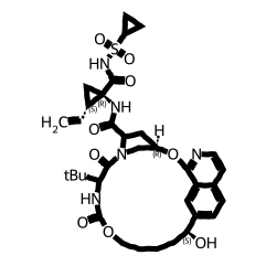 C=C[C@@H]1C[C@]1(NC(=O)C1C[C@@H]2CN1C(=O)C(C(C)(C)C)NC(=O)OCCCC[C@H](O)c1ccc3ccnc(c3c1)O2)C(=O)NS(=O)(=O)C1CC1